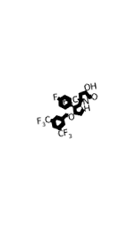 C[C@@]1([C@@H]2CC[C@H](OCc3cc(C(F)(F)F)cc(C(F)(F)F)c3)[C@H]2c2ccc(F)cc2)C[C@@H](O)C(=O)N1